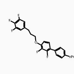 CCCc1ccc(-c2ccc(OCCCc3cc(F)c(F)c(F)c3)c(F)c2F)cc1